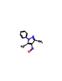 Cc1nn(-c2ccccc2)c(C)c1N=O